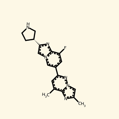 Cc1cn2nc(-c3cc(F)c4nc([C@@H]5CCNC5)cn4c3)cc(C)c2n1